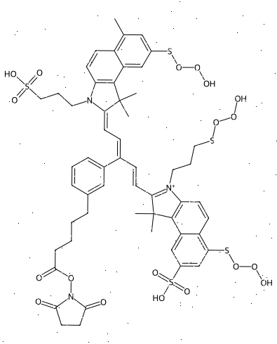 Cc1cc(SOOO)cc2c3c(ccc12)N(CCCS(=O)(=O)O)/C(=C/C=C(/C=C/C1=[N+](CCCSOOO)c2ccc4c(SOOO)cc(S(=O)(=O)O)cc4c2C1(C)C)c1cccc(CCCCC(=O)ON2C(=O)CCC2=O)c1)C3(C)C